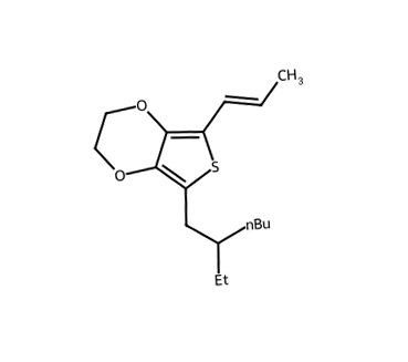 C/C=C/c1sc(CC(CC)CCCC)c2c1OCCO2